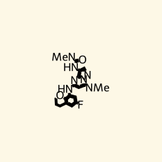 CNC(=O)Nc1cnn2c(NC)cc(Nc3cc(F)cc4c3OCCC4)nc12